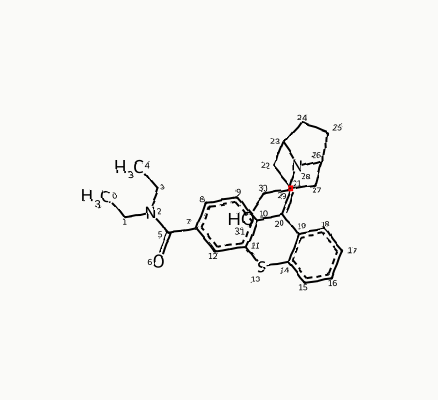 CCN(CC)C(=O)c1ccc2c(c1)Sc1ccccc1C2=C1CC2CCC(C1)N2CCO